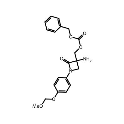 COCOc1ccc(N2CC(N)(COC(=O)OCc3ccccc3)C2=O)cc1